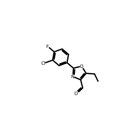 CCc1oc(-c2ccc(F)c(Cl)c2)nc1C=O